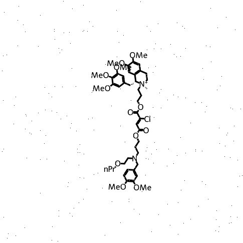 CCCOCCN(CCCOC(=O)/C=C(\Cl)C(=O)OCCC[N@+]1(C)CCc2cc(OC)c(OC)cc2[C@H]1Cc1cc(OC)c(OC)c(OC)c1)Cc1ccc(OC)c(OC)c1